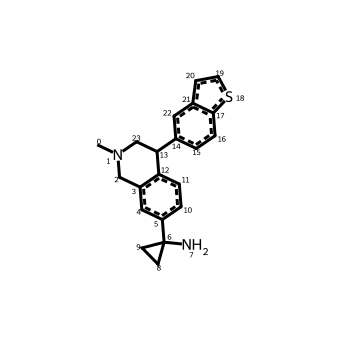 CN1Cc2cc(C3(N)CC3)ccc2C(c2ccc3sccc3c2)C1